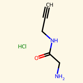 C#CCNC(=O)CN.Cl